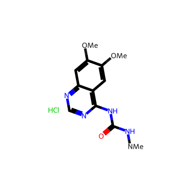 CNNC(=O)Nc1ncnc2cc(OC)c(OC)cc12.Cl